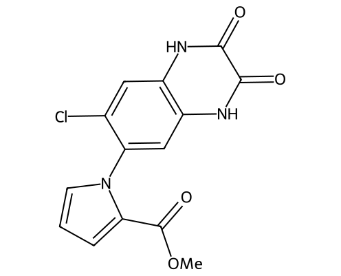 COC(=O)c1cccn1-c1cc2[nH]c(=O)c(=O)[nH]c2cc1Cl